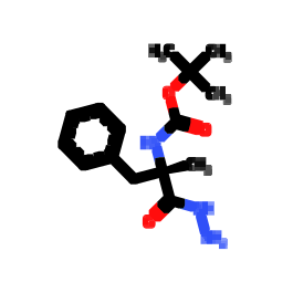 CC(C)(C)OC(=O)N[C@@](C)(Cc1ccccc1)C(=O)NN